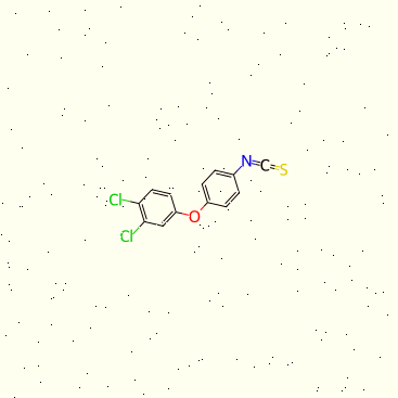 S=C=Nc1ccc(Oc2ccc(Cl)c(Cl)c2)cc1